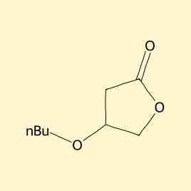 CCCCOC1COC(=O)C1